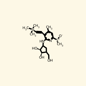 Cc1cc([S+](C)[O-])nc(NC2CC(CO)[C@@H](O)[C@H]2O)c1C#C[Si](C)(C)C